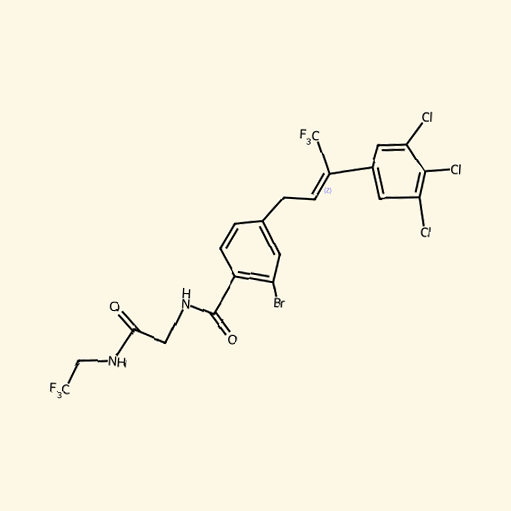 O=C(CNC(=O)c1ccc(C/C=C(/c2cc(Cl)c(Cl)c(Cl)c2)C(F)(F)F)cc1Br)NCC(F)(F)F